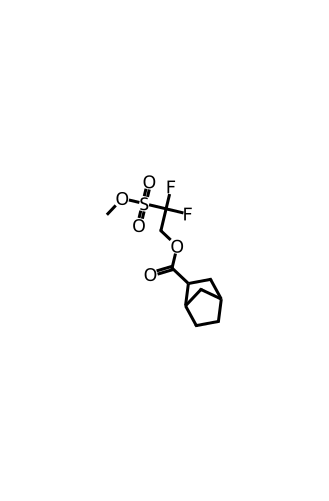 COS(=O)(=O)C(F)(F)COC(=O)C1CC2CCC1C2